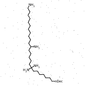 CCCCCCCCCCCCCCCCCC(N)(N)CCCCCC(N)CCCCCCCCCCCN